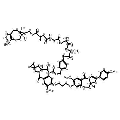 COc1ccc(C2=CN3C(=O)c4cc(OC)c(OCCCOc5cc6c(cc5OC)C(=O)N5CC7(CC7)C[C@H]5C(O)N6C(=O)OCc5ccc(NC(=O)[C@H](C)NC(=O)[C@@H](NC(=O)CNC(=O)CNC(=O)OCC6[C@H]7CCc8c(nnn8C(C)C)CC[C@@H]67)C(C)C)cc5)cc4NC[C@@H]3C2)cc1